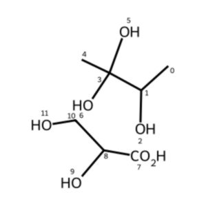 CC(O)C(C)(O)O.O=C(O)C(O)CO